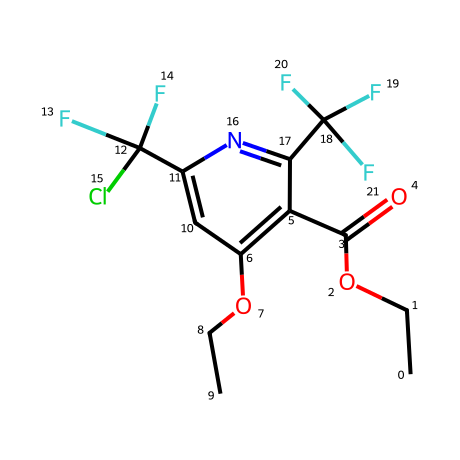 CCOC(=O)c1c(OCC)cc(C(F)(F)Cl)nc1C(F)(F)F